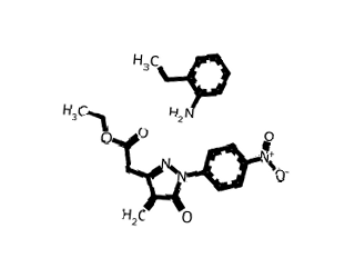 C=C1C(=O)N(c2ccc([N+](=O)[O-])cc2)N=C1CC(=O)OCC.CCc1ccccc1N